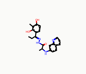 CC/C(=N\NC(=O)C(C)Nc1ccc2cccnc2c1)c1ccc(O)c(C)c1O